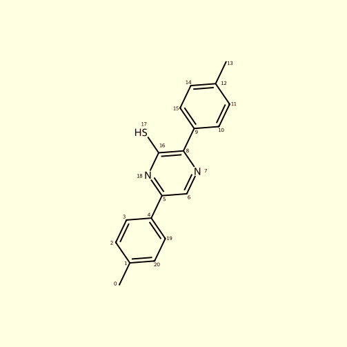 Cc1ccc(-c2cnc(-c3ccc(C)cc3)c(S)n2)cc1